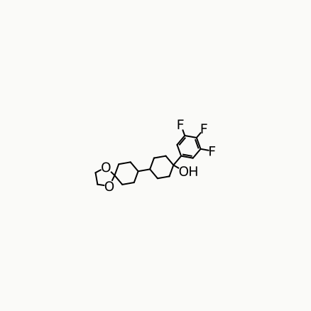 OC1(c2cc(F)c(F)c(F)c2)CCC(C2CCC3(CC2)OCCO3)CC1